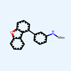 CNNc1cccc(-c2cccc3oc4ccccc4c23)c1